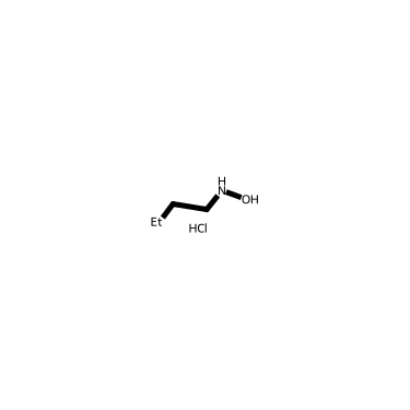 CCCCNO.Cl